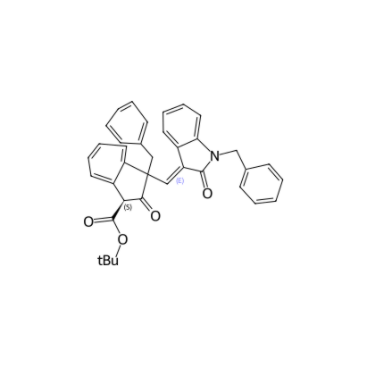 CC(C)(C)OC(=O)[C@@H]1C(=O)C(/C=C2/C(=O)N(Cc3ccccc3)c3ccccc32)(Cc2ccccc2)c2ccccc21